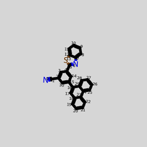 N#Cc1cc(-c2nc3ccccc3s2)cc(-c2cc3ccccc3c3ccccc23)c1